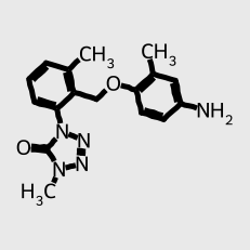 Cc1cc(N)ccc1OCc1c(C)cccc1-n1nnn(C)c1=O